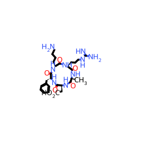 C[C@@H]1NC(=O)[C@H](CCCNC(=N)N)NC(=O)[C@H](CCCCN)NC(=O)[C@@H](Cc2ccccc2)NC(=O)[C@H](CC(=O)O)NC1=O